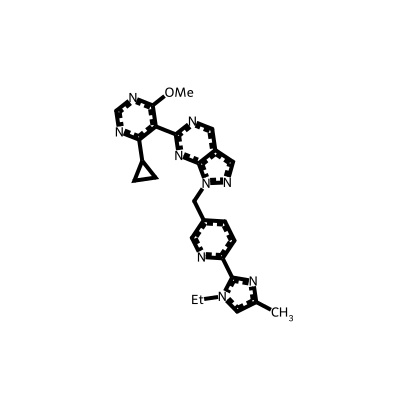 CCn1cc(C)nc1-c1ccc(Cn2ncc3cnc(-c4c(OC)ncnc4C4CC4)nc32)cn1